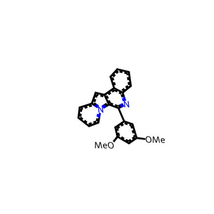 COc1cc(OC)cc(-c2nc3ccccc3c3cc4ccccn4c23)c1